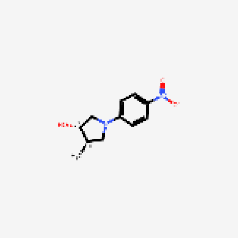 C[C@@H]1CN(c2ccc([N+](=O)[O-])cc2)C[C@H]1O